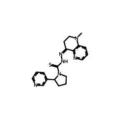 CN1CC/C(=N/NC(=S)N2CCCC2c2cccnc2)c2ncccc21